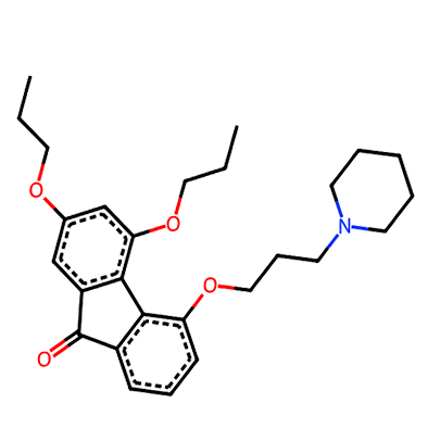 CCCOc1cc(OCCC)c2c(c1)C(=O)c1cccc(OCCCN3CCCCC3)c1-2